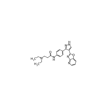 CCN(CC)CCC(=O)Nc1ccc(-c2n[nH]cc2-c2nc3ncccc3o2)cc1